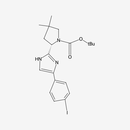 CC1(C)C[C@@H](c2nc(-c3ccc(I)cc3)c[nH]2)N(C(=O)OC(C)(C)C)C1